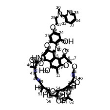 CO[C@H]1/C=C/O[C@@]2(C)Oc3c(C)c(O)c4c(c3C2=O)C2=Nc3c(O)cc(OCCN(C)c5ccccn5)cc3OC2=C(NC(=O)/C(C)=C\C=C\[C@H](C)[C@@H]2O[C@H]([C@H](O)[C@@H]2C)[C@H](OC(C)=O)[C@@H]1C)C4O